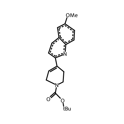 COc1ccc2nc(C3=CCN(C(=O)OC(C)(C)C)CC3)ccc2c1